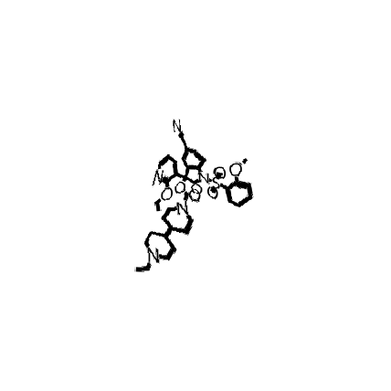 CCOc1ncccc1C1(OC(=O)N2CCC(C3CCN(CC)CC3)CC2)C(=O)N(S(=O)(=O)c2ccccc2OC)c2ccc(C#N)cc21